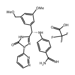 COCc1cc(OC)cc([C@H](Nc2ccc(C(=N)N)cc2)c2nn(-c3cccnn3)c(=O)[nH]2)c1.O=C(O)C(F)(F)F